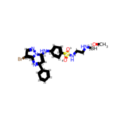 COBNCCNS(=O)(=O)c1ccc(Nc2cc(-c3ccccc3)nc3c(Br)cnn23)cc1